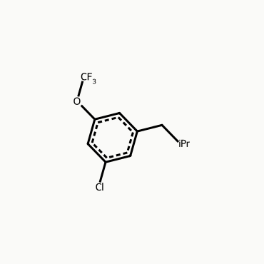 CC(C)Cc1cc(Cl)cc(OC(F)(F)F)c1